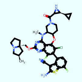 C[C@H]1CN2CCC[C@@]2(COc2nc3c4c(c(Cl)c(-c5ccc(F)c6sc(N)c(C#N)c56)c(F)c4n2)OC2CCN(C(=O)C4N[C@H]4C4CC4)CC2N3C)C1